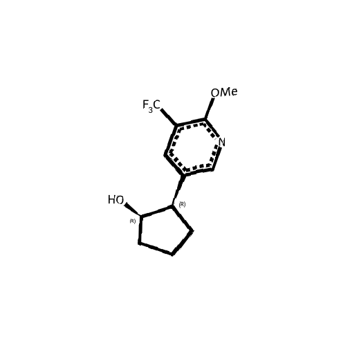 COc1ncc([C@H]2CCC[C@H]2O)cc1C(F)(F)F